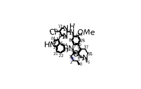 C=C/C=C\C(=O)Nc1cc(Nc2ncc(Cl)c(-c3c[nH]c4ccccc34)n2)c(OC)cc1C1=CCN(C)CC1